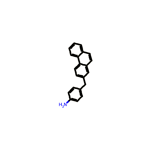 Nc1ccc(Cc2ccc3c(ccc4ccccc43)c2)cc1